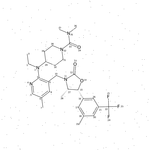 CCN(c1ncc(C)cc1CN1C(=O)O[C@H](c2cc(C)cc(C(F)(F)F)c2)[C@@H]1C)C1CCN(C(=O)N(C)C)CC1